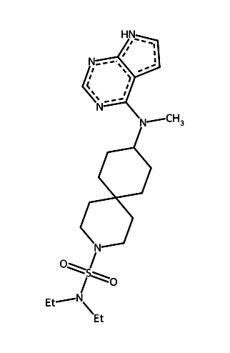 CCN(CC)S(=O)(=O)N1CCC2(CCC(N(C)c3ncnc4[nH]ccc34)CC2)CC1